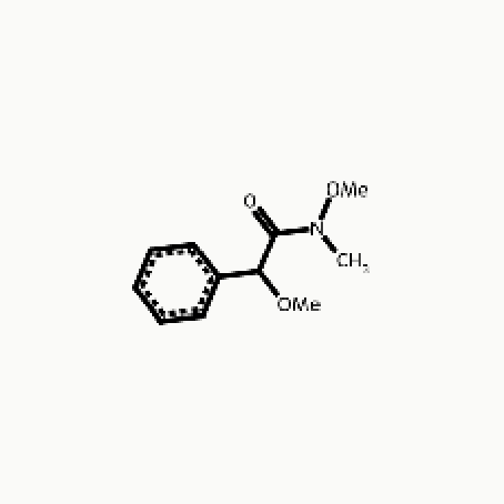 COC(C(=O)N(C)OC)c1ccccc1